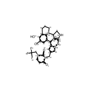 Cl.O=c1ccn(CC(F)(F)F)c(=O)n1Cc1cc2c(-c3cc(Cl)cc4c3N(C3CCNC3)CCC4)ncnn2c1